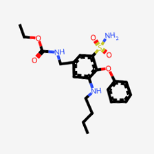 CCCCNc1cc(CNC(=O)OCC)cc(S(N)(=O)=O)c1Oc1ccccc1